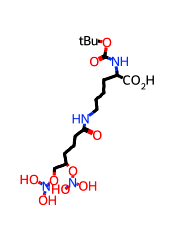 CC(C)(C)OC(=O)NC(CCCCNC(=O)CCCC(CON(O)O)ON(O)O)C(=O)O